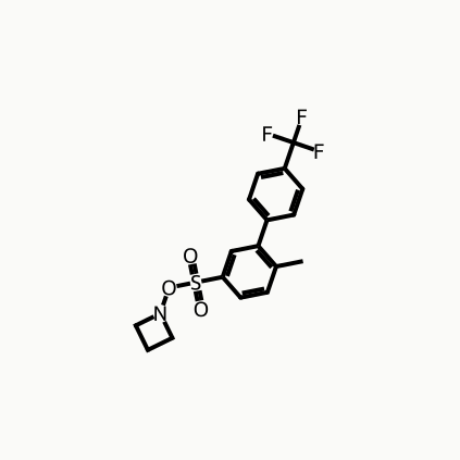 Cc1ccc(S(=O)(=O)ON2CCC2)cc1-c1ccc(C(F)(F)F)cc1